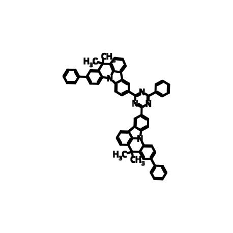 CC1(C)c2cc(-c3ccccc3)ccc2-n2c3ccc(-c4nc(-c5ccccc5)nc(-c5ccc6c(c5)c5cccc7c5n6-c5ccc(-c6ccccc6)cc5C7(C)C)n4)cc3c3cccc1c32